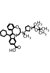 CN([C@H]1CCN(C(=O)OC(C)(C)C)C1)[C@H]1COc2ccccc2-c2c(C3CCCCC3)c3ccc(C(=O)O)cc3n2C1